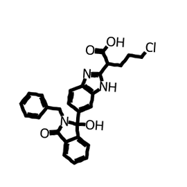 O=C(O)C(CCCCl)c1nc2ccc(C3(O)c4ccccc4C(=O)N3Cc3ccccc3)cc2[nH]1